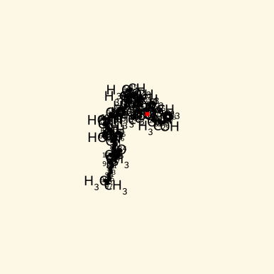 CC[C@H](C)[C@@H]([C@@H](CC(=O)N1CCC[C@H]1[C@H](OC)[C@@H](C)C(=O)N[C@H](C)[C@@H](O)c1ccccc1)OC)N(C)C(=O)[C@@H](NC(=O)[C@H](C(C)C)N(C)C(=O)OCc1ccc(NC(=O)[C@H](CO)NC(=O)[C@H](CC(=O)O)NC(=O)[C@@H]2CCCN2C(=O)CCN2C(=O)CC(SC(C)(I)CCCCCC(C)C)C2=O)cc1)C(C)C